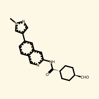 Cn1cc(-c2ccc3cnc(NC(=O)[C@H]4CC[C@H](C=O)CC4)cc3c2)cn1